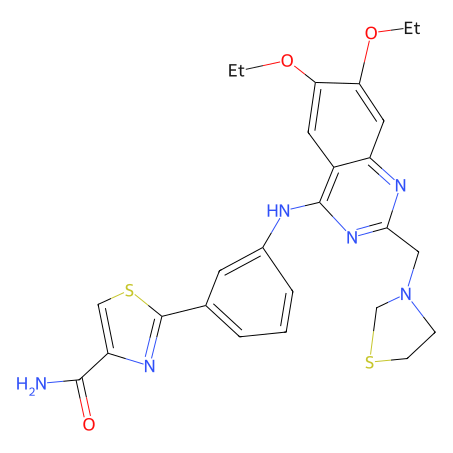 CCOc1cc2nc(CN3CCSC3)nc(Nc3cccc(-c4nc(C(N)=O)cs4)c3)c2cc1OCC